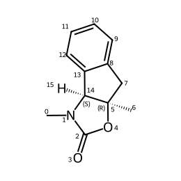 CN1C(=O)O[C@]2(C)Cc3ccccc3[C@H]12